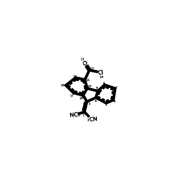 N#CC(C#N)=C1c2ccccc2-c2c(C(=O)Cl)cccc21